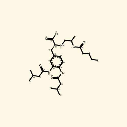 CCCCC(=O)OC(C)CN[C@@H](Cc1ccc(OC(=O)CC(C)C)c(OC(=O)CC(C)C)c1)C(=O)O